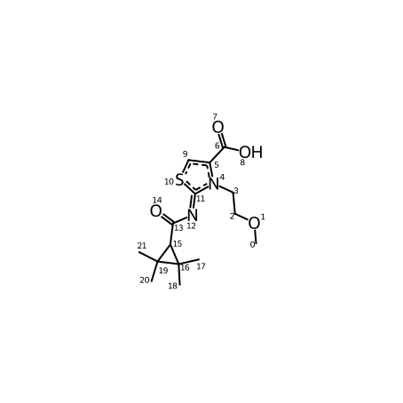 COCCn1c(C(=O)O)cs/c1=N\C(=O)C1C(C)(C)C1(C)C